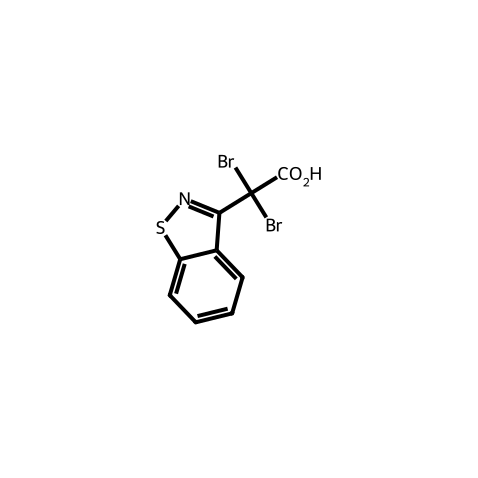 O=C(O)C(Br)(Br)c1nsc2ccccc12